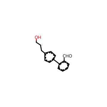 O=Cc1ccccc1-c1ccc(C[CH]CO)cc1